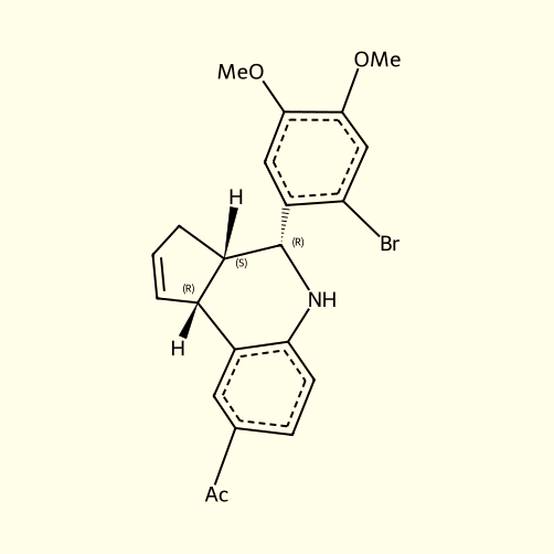 COc1cc(Br)c([C@@H]2Nc3ccc(C(C)=O)cc3[C@@H]3C=CC[C@@H]32)cc1OC